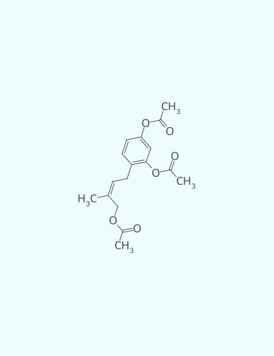 CC(=O)OCC(C)=CCc1ccc(OC(C)=O)cc1OC(C)=O